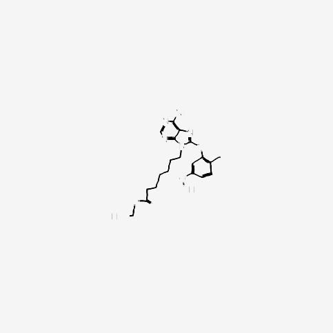 CCOC(=O)CCCCCCn1c(Sc2cc(OC)ccc2I)nc2c(N)ncnc21